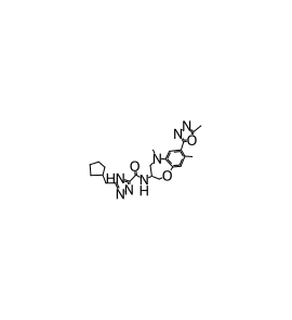 Cc1nnc(-c2cc3c(cc2C)OCC(NC(=O)c2nnc(CC4CCCC4)[nH]2)CN3C)o1